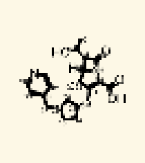 CC(O)[C@H]1C(=O)N2C(C(=O)O)=C(S[C@@H]3CCN(Cc4ccncc4)C3)[C@H](C)[C@H]12